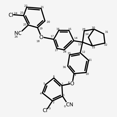 N#Cc1c(Cl)cccc1Oc1ccc(C2(c3ccc(Oc4cccc(Cl)c4C#N)cc3)CC3CCC2C3)cc1